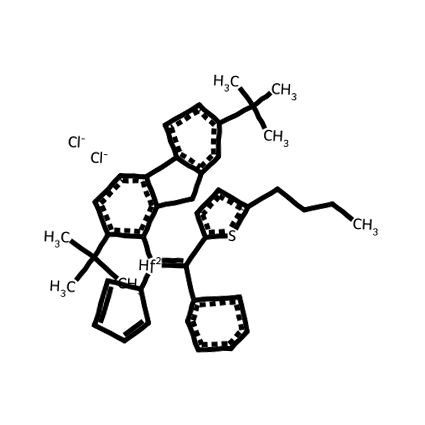 CCCCc1ccc([C](c2ccccc2)=[Hf+2]([c]2c(C(C)(C)C)ccc3c2Cc2cc(C(C)(C)C)ccc2-3)[CH]2C=CC=C2)s1.[Cl-].[Cl-]